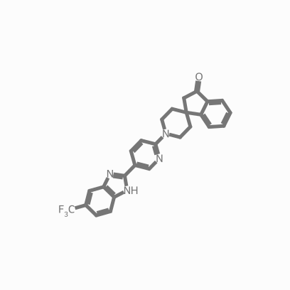 O=C1CC2(CCN(c3ccc(-c4nc5cc(C(F)(F)F)ccc5[nH]4)cn3)CC2)c2ccccc21